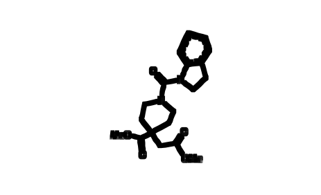 COC(=O)CC1(C(=O)OC)CCN(C(=O)N2CCc3ccccc32)CC1